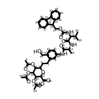 CC(=O)OC1C(CCc2cc(NC(=O)C(C)NC(=O)C(NC(=O)OCC3c4ccccc4-c4ccccc43)C(C)C)ccc2CO)OC(C(=O)O)C(OC(C)=O)C1OC(C)=O